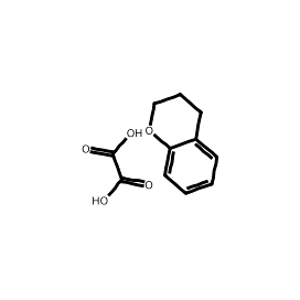 O=C(O)C(=O)O.c1ccc2c(c1)CCCO2